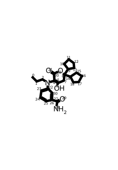 CCCN(C1=C(O)CC(C2CCCC2)(C2CCCC2)OC1=O)c1cccc(C(N)=O)c1